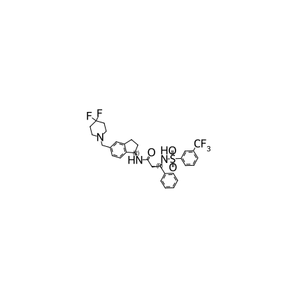 O=C(C[C@@H](NS(=O)(=O)c1cccc(C(F)(F)F)c1)c1ccccc1)N[C@@H]1CCc2cc(CN3CCC(F)(F)CC3)ccc21